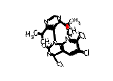 CC(C)c1ncnc(C(C)C)c1-n1c(=O)nc(Cl)c2cc(Cl)c(Cl)[n+]([O-])c21